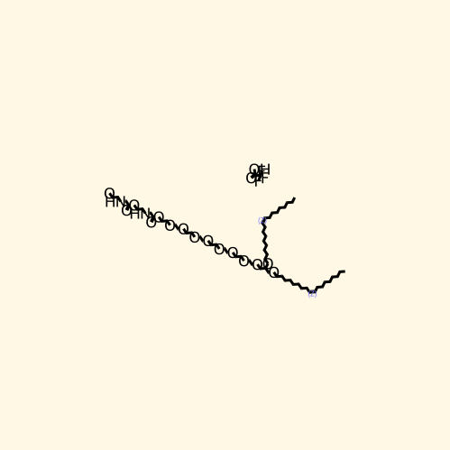 CCCCCCCC/C=C\CCCCCCCCOCC(COCCOCCOCCOCCOCCOCCOCCOCCOC(=O)CNCCOC(=O)CNCCOC)OCCCCCCCC/C=C\CCCCCCCC.O=C(O)C(F)(F)F